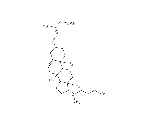 COC/C(C)=C/OC1CCC2(C)C(=CCC3(S)C2CCC2(C)C([C@H](C)CCCC(C)C)CCC23)C1